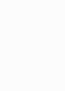 COC(=O)CC1C=CC(=O)O1